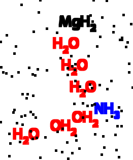 N.O.O.O.O.O.O.[MgH2]